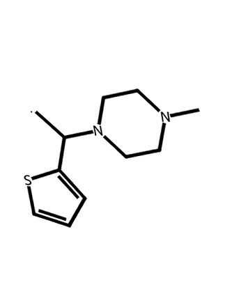 [CH2]C(c1cccs1)N1CCN(C)CC1